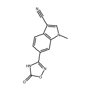 Cn1cc(C#N)c2ccc(-c3noc(=O)[nH]3)cc21